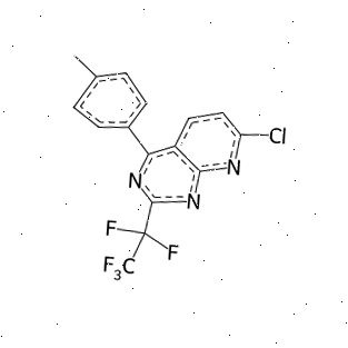 Cc1ccc(-c2nc(C(F)(F)C(F)(F)F)nc3nc(Cl)ccc23)cc1